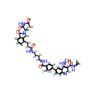 CNc1c(C(=O)NC2CC2)cnc2cc(F)c(-c3ccc(C(=O)NCCCCNC(=O)CCc4cccc5c4CN(C4CCC(=O)NC4=O)C5=O)c(F)c3)cc12